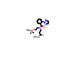 COC(=O)CCN(CCO[Si](C)(C)C(C)(C)C)C(=O)c1ccccc1-n1nccn1